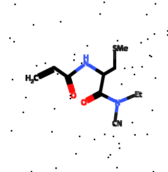 C=CC(=O)NC(CSC)C(=O)N(C#N)CC